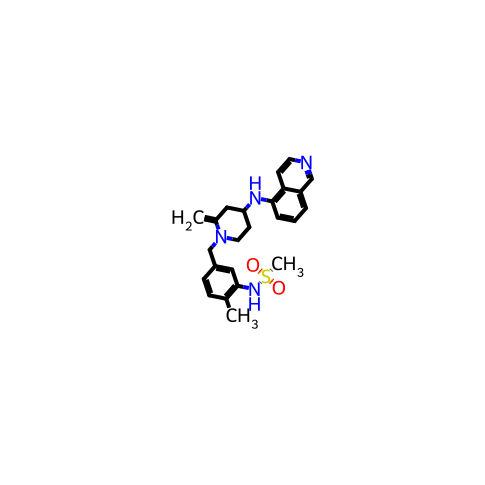 C=C1CC(Nc2cccc3cnccc23)CCN1Cc1ccc(C)c(NS(C)(=O)=O)c1